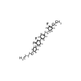 CCCCOc1ccc(-c2ccc(-c3ccc(CCc4ccc(OCC)c(F)c4)cc3)c(F)c2F)cc1